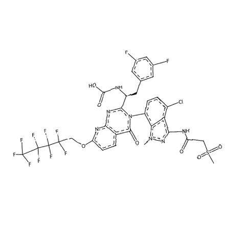 Cn1nc(NC(=O)CS(C)(=O)=O)c2c(Cl)ccc(-n3c([C@H](Cc4cc(F)cc(F)c4)NC(=O)O)nc4nc(OCC(F)(F)C(F)(F)C(F)(F)C(F)(F)F)ccc4c3=O)c21